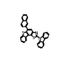 c1ccc2cc(-c3cc4nc(-n5c6ccccc6c6ccccc65)sc4c4c3sc3ccccc34)ccc2c1